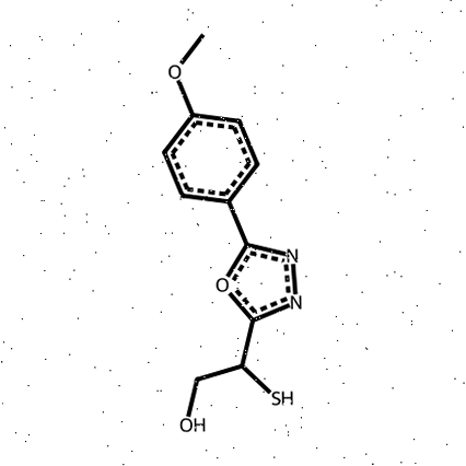 COc1ccc(-c2nnc(C(S)CO)o2)cc1